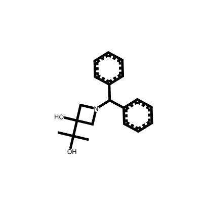 CC(C)(O)C1(O)CN(C(c2ccccc2)c2ccccc2)C1